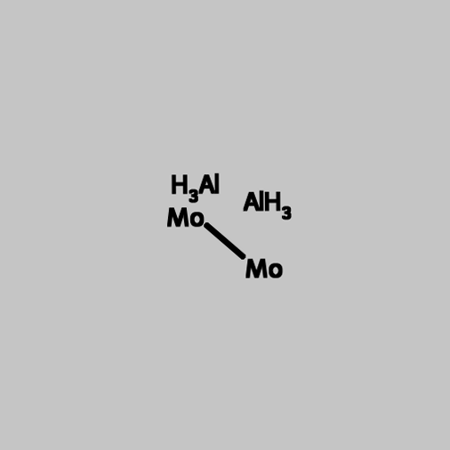 [AlH3].[AlH3].[Mo][Mo]